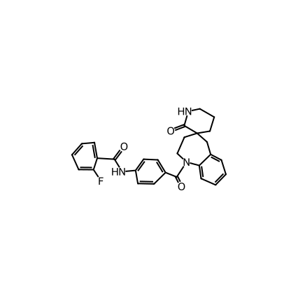 O=C(Nc1ccc(C(=O)N2CCC3(CCCNC3=O)Cc3ccccc32)cc1)c1ccccc1F